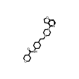 O=C(NC1CCC(CCN2CCN(c3nccc4c3CCO4)CC2)CC1)C1CCOCC1